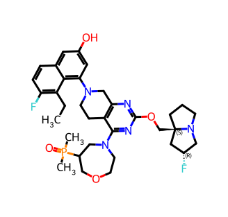 CCc1c(F)ccc2cc(O)cc(N3CCc4c(nc(OC[C@@]56CCCN5C[C@H](F)C6)nc4N4CCOCC(P(C)(C)=O)C4)C3)c12